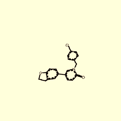 O=c1ccc(-c2ccc3c(c2)CCO3)cn1Cc1ccc(Cl)cc1